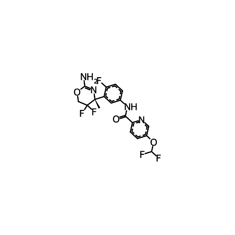 C[C@]1(c2cc(NC(=O)c3ccc(OC(F)F)cn3)ccc2F)N=C(N)OCC1(F)F